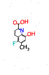 Cc1cc(O)c2nc(C(=O)O)ccc2c1F